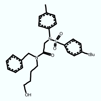 Cc1ccc(N(CC(=O)N(CCCCO)Cc2ccccc2)S(=O)(=O)c2ccc(C(C)(C)C)cc2)cc1